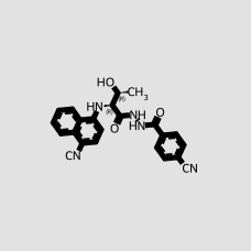 [C-]#[N+]c1ccc(N[C@@H](C(=O)NNC(=O)c2ccc(C#N)cc2)[C@@H](C)O)c2ccccc12